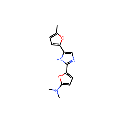 Cc1ccc(-c2cnc(-c3ccc(N(C)C)o3)[nH]2)o1